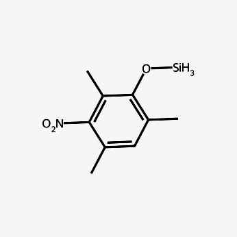 Cc1cc(C)c([N+](=O)[O-])c(C)c1O[SiH3]